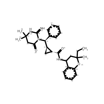 CCC1(C)CC(NC(=O)[C@@H]2C[C@H]2[C@H](c2cccnc2)N2C(=N)NC(C)(C)CC2=O)c2ccccc2O1